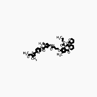 C=CCOC(=O)N1c2cc(OCCCC(=O)Nc3cc(C(=O)Nc4ccc(-c5cc(C)c(C(C)=O)s5)nc4)n(C)c3)c(C)cc2C(=O)N2CCCC[C@H]2C1OC1CCCCO1